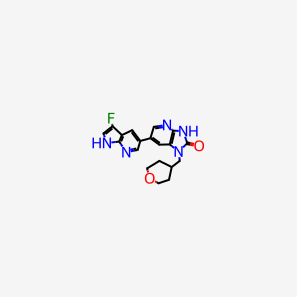 O=c1[nH]c2ncc(-c3cnc4[nH]cc(F)c4c3)cc2n1CC1CCOCC1